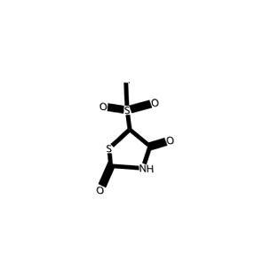 [CH2]S(=O)(=O)C1SC(=O)NC1=O